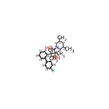 CC1CC(C)CN(C(O)C(C)(O)C(C)(C)c2ccccc2-c2ccc(F)cc2)C1